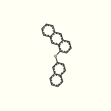 c1ccc2cc(Oc3cccc4cc5ccccc5cc34)ccc2c1